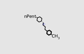 CCCCC[C@H]1CC[C@H](/C=C/CCc2ccc(C)cc2)CC1